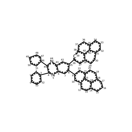 c1ccc(-c2nc3cc(-c4cc5ccc6cccc7ccc(c4)c5c67)c(-c4cc5ccc6cccc7ccc(c4)c5c67)cc3nc2-c2ccccc2)cc1